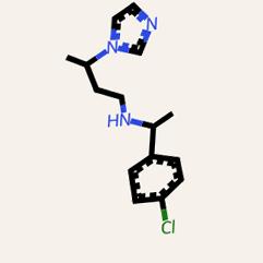 CC(NCCC(C)n1ccnc1)c1ccc(Cl)cc1